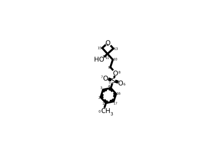 Cc1ccc(S(=O)(=O)OCCC2(O)COC2)cc1